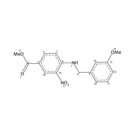 COC(=O)c1ccc(NCc2cccc(OC)c2)c([N+](=O)[O-])c1